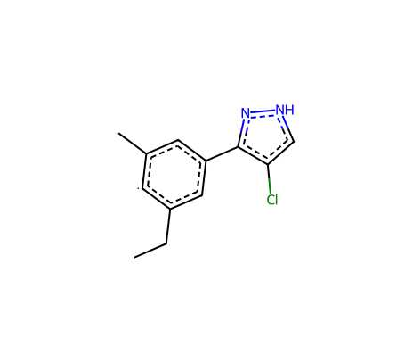 CCc1[c]c(C)cc(-c2n[nH]cc2Cl)c1